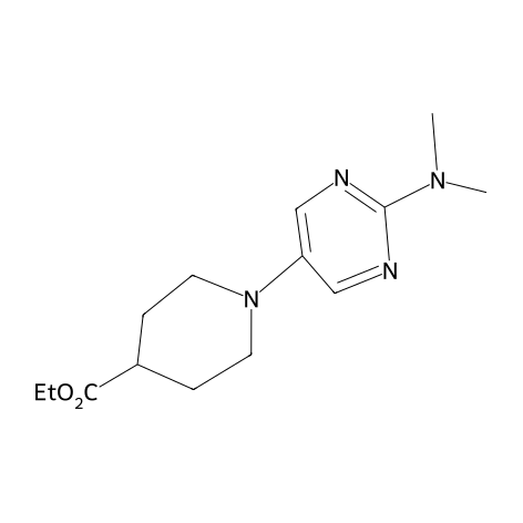 CCOC(=O)C1CCN(c2cnc(N(C)C)nc2)CC1